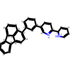 C1=CNC(c2ccc(-c3cccc(-c4ccc5c6c(cccc46)-c4ccccc4-5)c3)cn2)C=C1